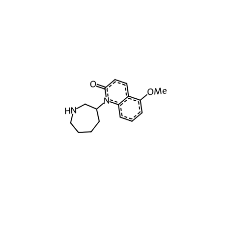 COc1cccc2c1ccc(=O)n2C1CCCCNC1